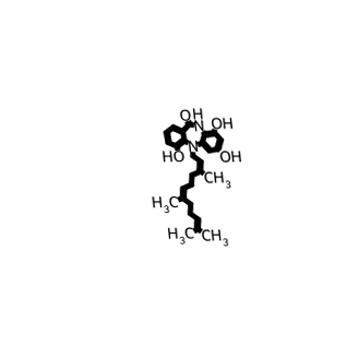 CC(C)=CCCC(C)=CCCC(C)=CCN1c2cc(O)cc(O)c2NC(=O)c2cccc(O)c21